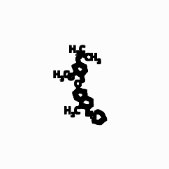 COc1cc(CC(C)C)ccc1COc1ccc2c(c1)CCC(CN1CC=CCC1)=C2C